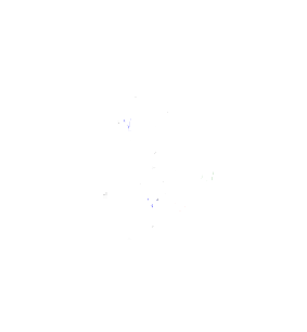 O=C(c1cc(-c2cccnc2)sc1Cl)N1CCCCC1